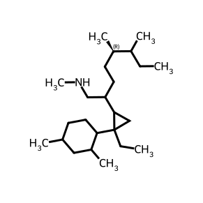 CCC(C)[C@H](C)CCC(CNC)C1CC1(CC)C1CCC(C)CC1C